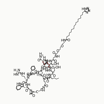 CCCC[C@H](NC(=O)[C@H](CCO)NC(=O)[C@H](Cc1c[nH]cn1)NC(=O)[C@H](CCC(N)=O)NC(=O)[C@H](CO)NC(=O)CNC(=O)COCCOCCNC(=O)CCCCCCCCCCCCCCCc1nnn[nH]1)C(=O)N[C@H]1CCC(=O)NCCCC[C@@H](C(C)=O)NC(=O)[C@H](Cc2c[nH]c3ccccc23)NC(=O)[C@H](CCCNC(=N)N)NC(=O)[C@@H](Cc2ccccc2)NC(=O)[C@@H]2C[C@@H](O)CN2C1=O